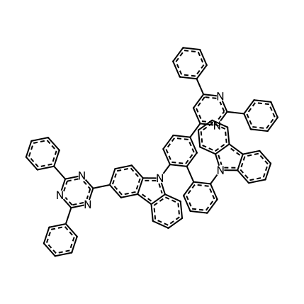 c1ccc(-c2cc(-c3ccc(-n4c5ccccc5c5cc(-c6nc(-c7ccccc7)nc(-c7ccccc7)n6)ccc54)c(-c4ccccc4-n4c5ccccc5c5ccccc54)c3)nc(-c3ccccc3)n2)cc1